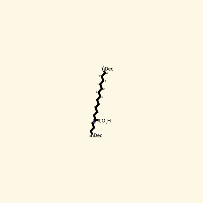 CCCCCCCCCCCC/C=C(/CCCCCCCCCCCCCCCCCCCCCC)C(=O)O